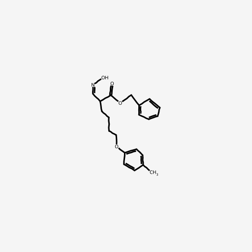 Cc1ccc(OCCCCC(/C=N\O)C(=O)OCc2ccccc2)cc1